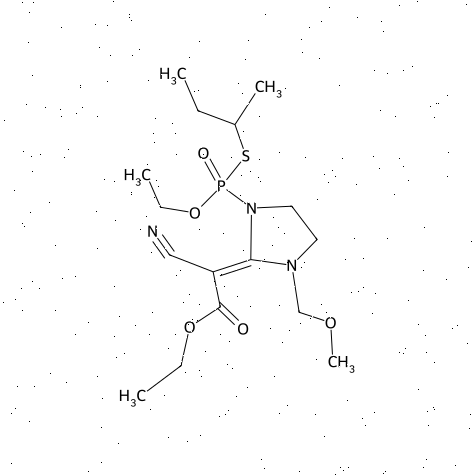 CCOC(=O)C(C#N)=C1N(COC)CCN1P(=O)(OCC)SC(C)CC